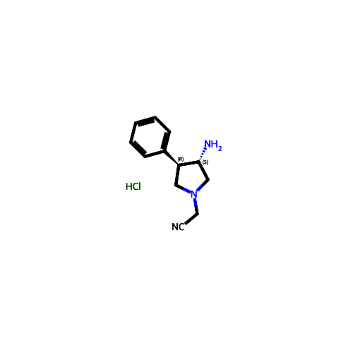 Cl.N#CCN1C[C@@H](N)[C@H](c2ccccc2)C1